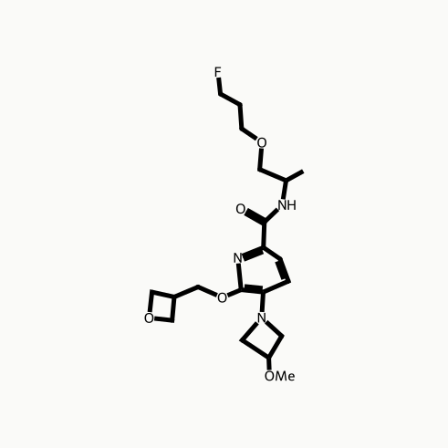 COC1CN(c2ccc(C(=O)NC(C)COCCCF)nc2OCC2COC2)C1